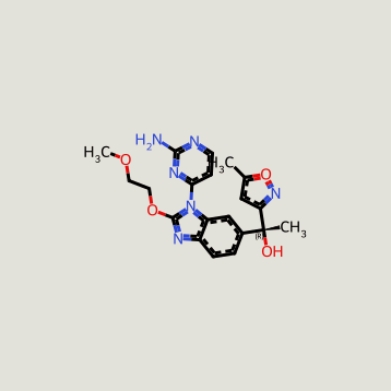 COCCOc1nc2ccc([C@@](C)(O)c3cc(C)on3)cc2n1-c1ccnc(N)n1